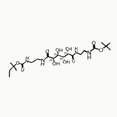 CCC(C)(C)OC(=O)NCCNC(=O)[C@H](O)[C@@H](O)[C@@H](O)[C@H](O)C(=O)NCCNC(=O)OC(C)(C)C